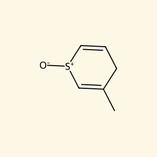 CC1=C[S+]([O-])C=CC1